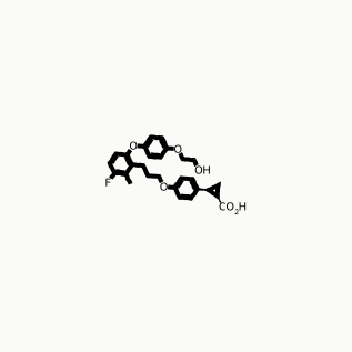 Cc1c(F)ccc(Oc2ccc(OCCO)cc2)c1CCCOc1ccc([C@H]2C[C@@H]2C(=O)O)cc1